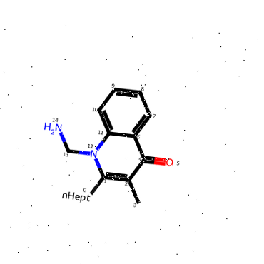 CCCCCCCc1c(C)c(=O)c2ccccc2n1CN